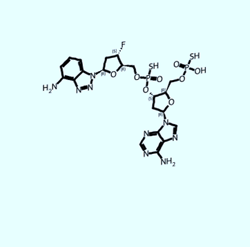 Nc1ncnc2c1ncn2[C@H]1C[C@H](OP(=O)(S)OC[C@H]2O[C@@H](n3nnc4c(N)cccc43)C[C@@H]2F)[C@@H](COP(=O)(O)S)O1